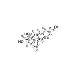 CCC(=O)OC1C2(C)C(C)C3CCC(CCO)C(C)C3C(C)C2C(C)C2(C)C(O)C(C(C)O)C(C)CC12C